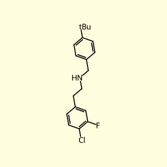 CC(C)(C)c1ccc(CNCCc2ccc(Cl)c(F)c2)cc1